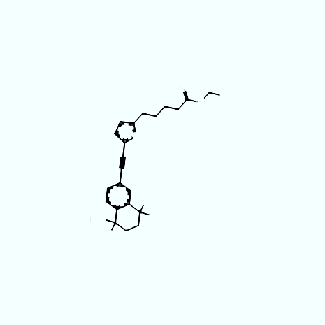 CCOC(=O)CCCCc1ccc(C#Cc2ccc3c(c2)C(C)(C)CCC3(C)C)s1